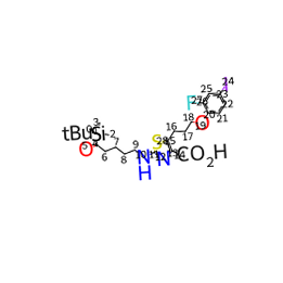 CC(C)(C)[Si](C)(C)C(=O)CCCCNc1nc(C(=O)O)c(CCCOc2ccc(I)cc2F)s1